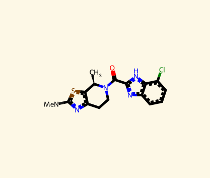 CNc1nc2c(s1)[C@@H](C)N(C(=O)c1nc3cccc(Cl)c3[nH]1)CC2